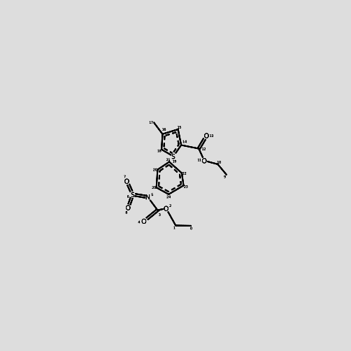 CCOC(=O)N=S(=O)=O.CCOC(=O)c1cc(C)cs1.c1ccccc1